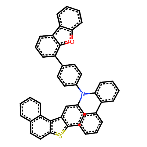 c1ccc(-c2ccccc2N(c2ccc(-c3cccc4c3oc3ccccc34)cc2)c2ccc3sc4ccc5ccccc5c4c3c2)cc1